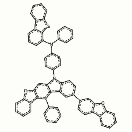 c1ccc(-c2c3c(cc4c2c2cc(-c5ccc6c(c5)oc5ccccc56)ccc2n4-c2ccc(N(c4ccccc4)c4cccc5c4sc4ccccc45)cc2)oc2ccccc23)cc1